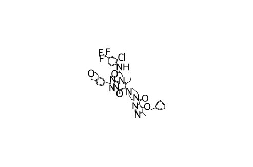 CCc1c(N2CCN(C(=O)c3ncnc(C)c3OCc3ccccc3)CC2)c(=O)n2nc(-c3ccc4c(c3)COC4)nc2n1CC(=O)Nc1ccc(C(F)(F)F)cc1Cl